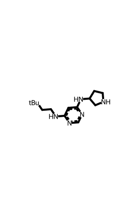 CC(C)(C)CCNc1cc(NC2CCNC2)ncn1